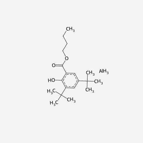 CCCCOC(=O)c1cc(C(C)(C)C)cc(C(C)(C)C)c1O.[AlH3]